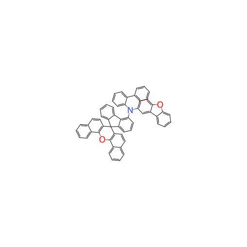 c1ccc(-c2ccccc2N(c2ccc3oc4ccccc4c3c2)c2cccc3c2-c2ccccc2C32c3ccc4ccccc4c3Oc3c2ccc2ccccc32)cc1